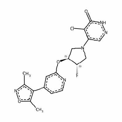 Cc1noc(C)c1-c1ccnc(O[C@H]2CN(c3cn[nH]c(=O)c3Cl)C[C@@H]2F)c1